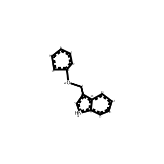 c1ccc(OCc2c[nH]c3ccccc23)cc1